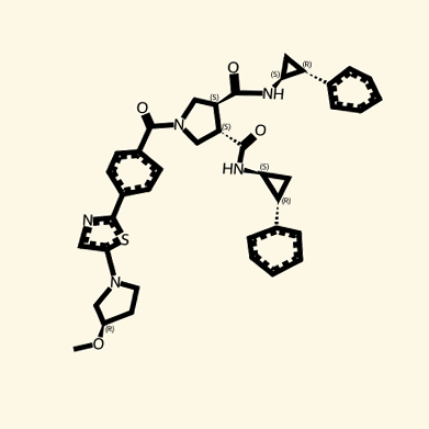 CO[C@@H]1CCN(c2cnc(-c3ccc(C(=O)N4C[C@@H](C(=O)N[C@H]5C[C@@H]5c5ccccc5)[C@H](C(=O)N[C@H]5C[C@@H]5c5ccccc5)C4)cc3)s2)C1